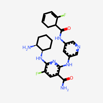 NC(=O)c1cc(F)c(N[C@@H]2CCCC[C@@H]2N)nc1Nc1cncc(NC(=O)C2CC=CC=C2F)c1